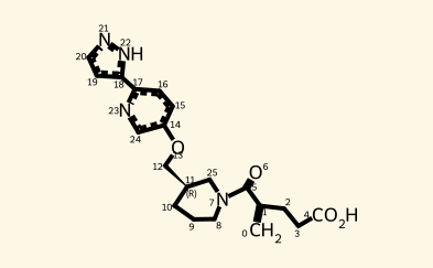 C=C(CCC(=O)O)C(=O)N1CCC[C@@H](COc2ccc(-c3ccn[nH]3)nc2)C1